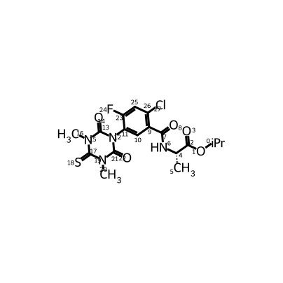 CC(C)OC(=O)[C@H](C)NC(=O)c1cc(-n2c(=O)n(C)c(=S)n(C)c2=O)c(F)cc1Cl